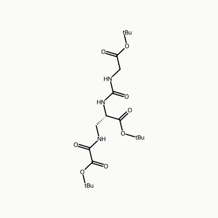 CC(C)(C)OC(=O)CNC(=O)N[C@@H](CNC(=O)C(=O)OC(C)(C)C)C(=O)OC(C)(C)C